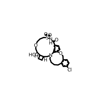 O=C1NS(=O)(=O)CCCOC[C@H](O)[C@@H]2CC[C@H]2CN2CCCCc3cc(Cl)ccc3COc3ccc1cc32